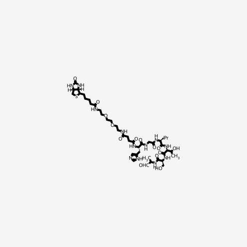 CC(C=O)NC(=O)[C@H](CO)NC(=O)[C@@H](NC(=O)[C@@H](NC(=O)CNC(=O)[C@H](Cc1cnc[nH]1)NC(=O)CCC(=O)NCCOCCOCCNC(=O)CCCCC1SC[C@@H]2NC(=O)N[C@H]12)C(C)C)C(C)O